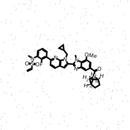 C=CS(=O)(=O)N(C)c1cccc(-c2ccc3cc(-c4nc5cc(C(=O)N6C[C@H]7CC[C@@H]6[C@@H]7N)cc(OC)c5n4C)n(CC4CC4)c3n2)c1F